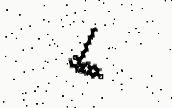 CCCCCCCCCC(=O)n1c(CC)nc2nc3cc(Cl)ccc3nc21